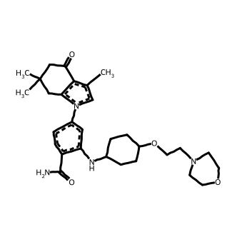 Cc1cn(-c2ccc(C(N)=O)c(NC3CCC(OCCN4CCOCC4)CC3)c2)c2c1C(=O)CC(C)(C)C2